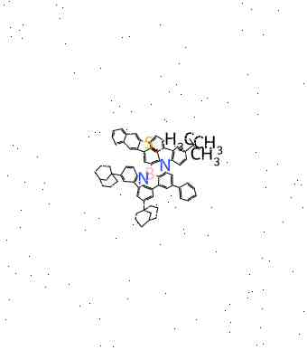 CC(C)(C)c1ccc(N2c3cc4sc5cc6ccccc6cc5c4cc3B3c4c(cc(-c5ccccc5)cc42)-c2cc(C45CCCC(CCC4)C5)cc4c5cc(C67CCCC(CCC6)C7)ccc5n3c24)c(-c2ccccc2)c1